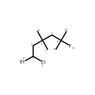 CCC(CC)CC(C)(C)CC(C)(C)F